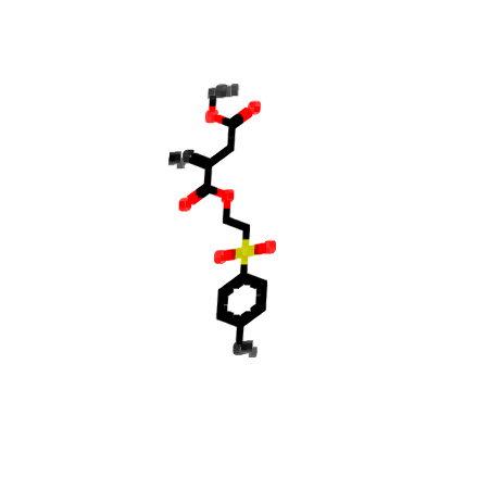 C=C(CC(=O)OCCCCCCCC)C(=O)OCCS(=O)(=O)c1ccc(C)cc1